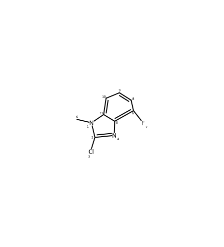 Cn1c(Cl)nc2c(F)cccc21